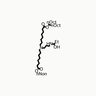 CCCCCCCCCOC(=O)CCCCCCCN(CCCCCCCC(=O)OC(CCCCCCCC)CCCCCCCC)CCCNC(O)CC